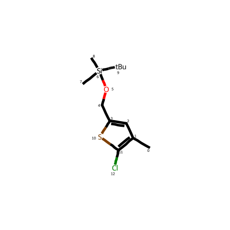 Cc1cc(CO[Si](C)(C)C(C)(C)C)sc1Cl